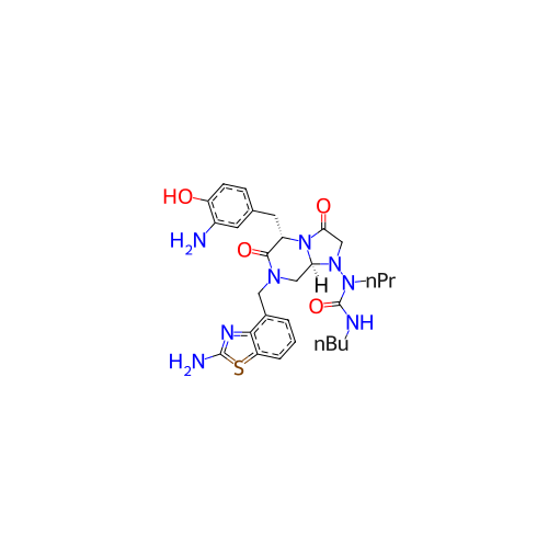 CCCCNC(=O)N(CCC)N1CC(=O)N2[C@@H](Cc3ccc(O)c(N)c3)C(=O)N(Cc3cccc4sc(N)nc34)C[C@@H]21